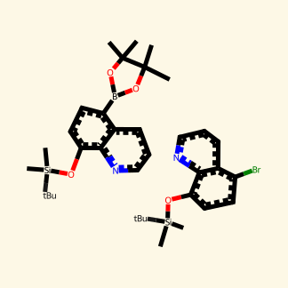 CC(C)(C)[Si](C)(C)Oc1ccc(Br)c2cccnc12.CC1(C)OB(c2ccc(O[Si](C)(C)C(C)(C)C)c3ncccc23)OC1(C)C